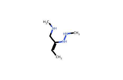 C/C=C(/CNC)NNC